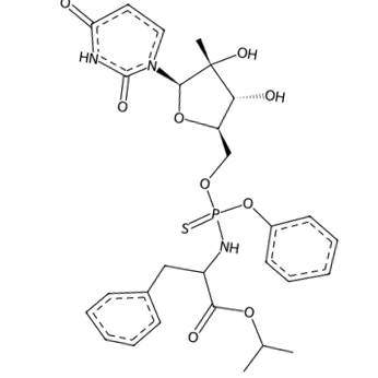 CC(C)OC(=O)C(Cc1ccccc1)NP(=S)(OC[C@H]1O[C@@H](n2ccc(=O)[nH]c2=O)[C@](C)(O)[C@@H]1O)Oc1ccccc1